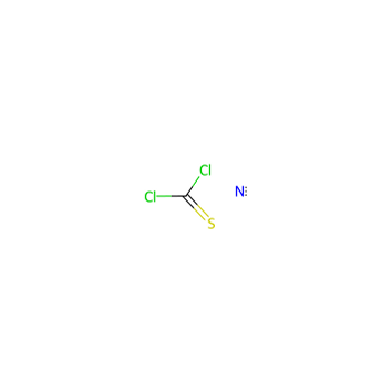 S=C(Cl)Cl.[N]